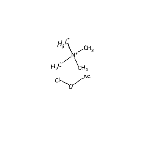 CC(=O)OCl.C[N+](C)(C)C